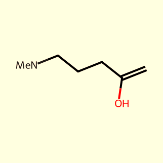 C=C(O)CCCNC